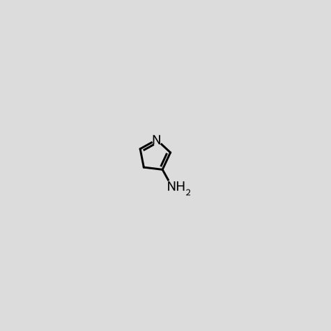 NC1=CN=CC1